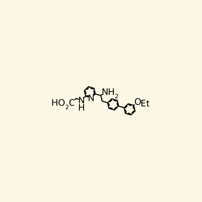 CCOc1cccc(-c2ccc(CC(N)c3cccc(NCC(=O)O)n3)cc2)c1